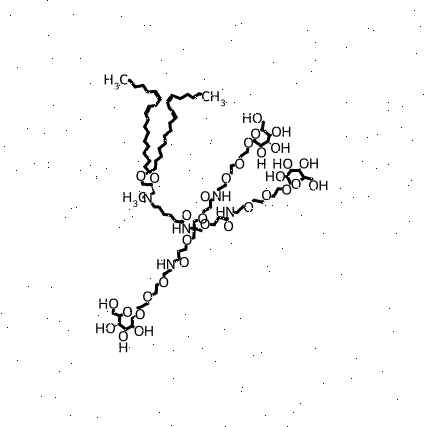 CCCCC/C=C\C/C=C\CCCCCCCCC1(CCCCCCCC/C=C\C/C=C\CCCCC)OC[C@H](CN(C)CCCCCC(=O)NC(COCCC(=O)NCCOCCOCCO[C@@H]2OC(CO)[C@@H](O)[C@H](O)C2O)(COCCC(=O)NCCOCCOCCO[C@@H]2OC(CO)[C@@H](O)[C@H](O)C2O)COCCC(=O)NCCOCCOCCO[C@@H]2OC(CO)[C@@H](O)[C@H](O)C2O)O1